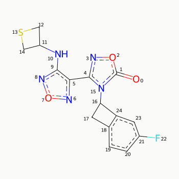 O=c1onc(-c2nonc2NC2CSC2)n1C1Cc2ccc(F)cc21